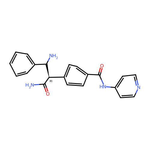 NC(=O)[C@H](c1ccc(C(=O)Nc2ccncc2)cc1)C(N)c1ccccc1